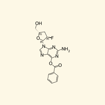 Nc1nc(OC(=O)c2ccccc2)c2ncn([C@@H]3O[C@H](CO)C[C@H]3F)c2n1